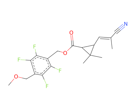 COCc1c(F)c(F)c(COC(=O)C2C(/C=C(\C)C#N)C2(C)C)c(F)c1F